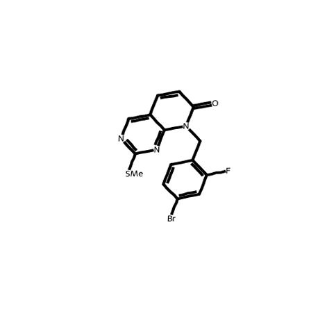 CSc1ncc2ccc(=O)n(Cc3ccc(Br)cc3F)c2n1